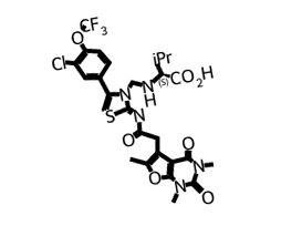 Cc1oc2c(c1CC(=O)N=c1scc(-c3ccc(OC(F)(F)F)c(Cl)c3)n1CN[C@H](C(=O)O)C(C)C)c(=O)n(C)c(=O)n2C